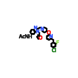 CC(=O)Nc1ccc2nc(CN3CCC(Oc4cccc(Cc5ccc(Cl)cc5F)n4)CC3)n(C[C@@H]3CCO3)c2c1